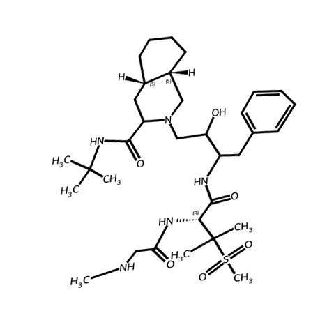 CNCC(=O)N[C@H](C(=O)NC(Cc1ccccc1)C(O)CN1C[C@H]2CCCC[C@H]2CC1C(=O)NC(C)(C)C)C(C)(C)S(C)(=O)=O